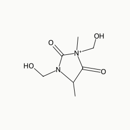 CC1C(=O)[N+](C)(CO)C(=O)N1CO